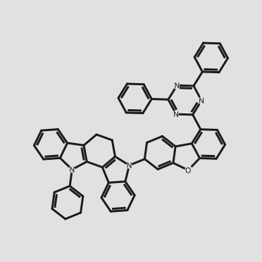 C1=CC(n2c3c(c4ccccc42)CCc2c-3c3ccccc3n2C2C=c3oc4cccc(-c5nc(-c6ccccc6)nc(-c6ccccc6)n5)c4c3=CC2)=CCC1